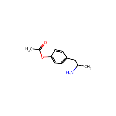 CC(=O)Oc1ccc(CC(C)N)cc1